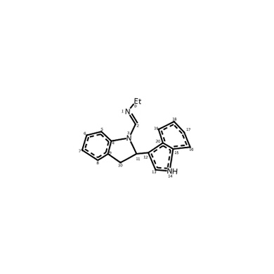 CCN=CN1c2ccccc2CC1c1c[nH]c2ccccc12